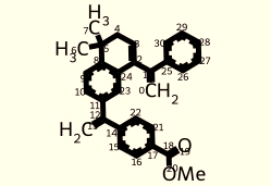 C=C(C1=CCC(C)(C)c2ccc(C(=C)c3ccc(C(=O)OC)cc3)cc21)c1ccccc1